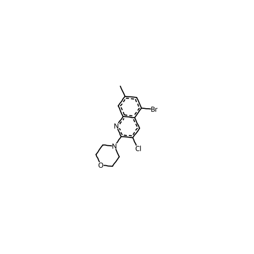 Cc1cc(Br)c2cc(Cl)c(N3CCOCC3)nc2c1